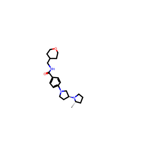 C[C@H]1CCCN1[C@H]1CCN(c2ccc(C(=O)NCC3CCOCC3)cc2)C1